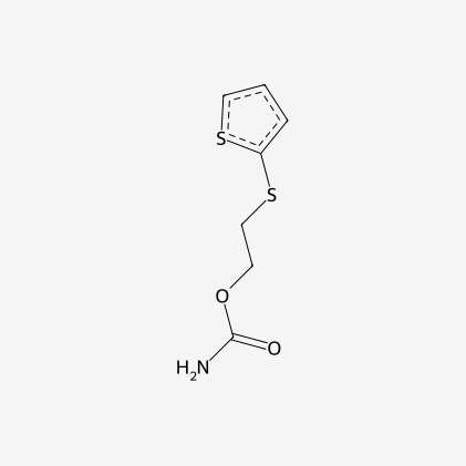 NC(=O)OCCSc1cccs1